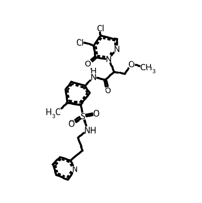 COCC(C(=O)Nc1ccc(C)c(S(=O)(=O)NCCc2ccccn2)c1)n1ncc(Cl)c(Cl)c1=O